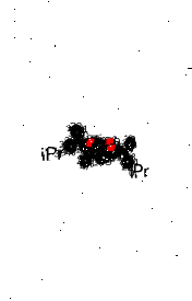 CC(C)c1ccc(N(c2ccccc2)c2ccc3c4c(ccc3c2)-c2c(c3ccc(N(c5ccccc5)c5ccc(C(C)C)cc5)cc3c3ccccc23)C42c3ccccc3-c3ccccc32)cc1